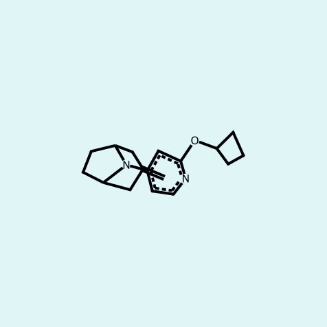 C=C1CC2CCC(C1)N2c1ccnc(OC2CCC2)c1